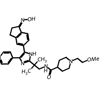 COCCN1CCC(C(=O)NCC(C)(C)c2nc(-c3ccncc3)c(-c3ccc4c(c3)CC/C4=N/O)[nH]2)CC1